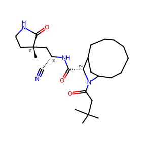 CC(C)(C)CC(=O)N1C2CCCCCCCC(C2)[C@H]1C(=O)N[C@H](C#N)C[C@]1(C)CCNC1=O